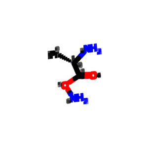 CC(C)[C@H](N)C(=O)ON